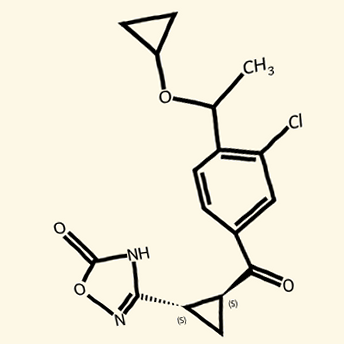 CC(OC1CC1)c1ccc(C(=O)[C@H]2C[C@@H]2c2noc(=O)[nH]2)cc1Cl